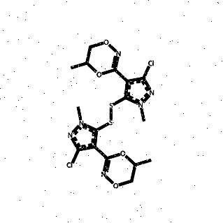 CC1CON=C(c2c(Cl)nn(C)c2SSc2c(C3=NOCC(C)O3)c(Cl)nn2C)O1